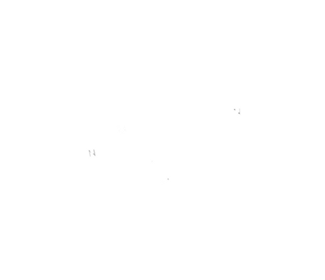 N#Cc1ccc2oc3ncccc3c(=O)c2c1